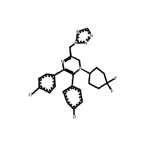 FC1(F)CCC(N2CC(Cn3ncnn3)=NC(c3ccc(Cl)cc3)=C2c2ccc(Cl)cc2)CC1